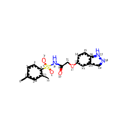 Cc1ccc(S(=O)(=O)NC(=O)COc2ccc3[nH]ncc3c2)c(C)c1